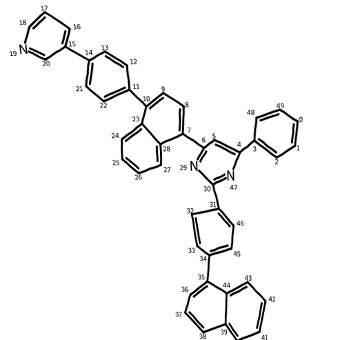 c1ccc(-c2cc(-c3ccc(-c4ccc(-c5cccnc5)cc4)c4ccccc34)nc(-c3ccc(-c4cccc5ccccc45)cc3)n2)cc1